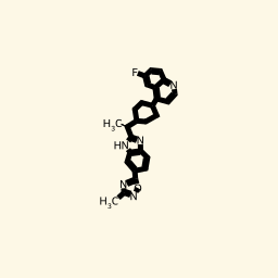 Cc1noc(-c2ccc3nc([C@H](C)C4CCC(c5ccnc6ccc(F)cc56)CC4)[nH]c3c2)n1